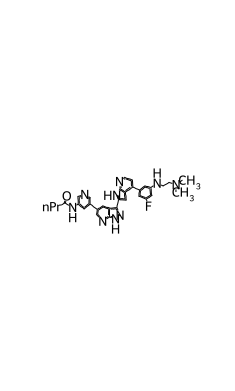 CCCC(=O)Nc1cncc(-c2cnc3[nH]nc(-c4cc5c(-c6cc(F)cc(NCCN(C)C)c6)ccnc5[nH]4)c3c2)c1